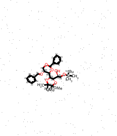 COC1(C)O[C@@H]([C@@H]2OC(c3ccccc3)OC[C@H]2OCc2ccccc2)[C@H]([C@@H](O)CO[Si](C)(C)C(C)(C)C)OC1(C)OC